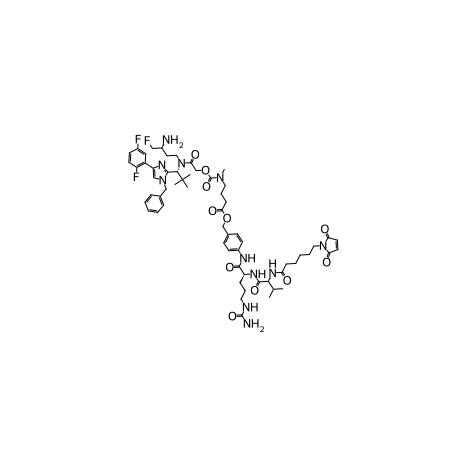 CC(C)[C@H](NC(=O)CCCCCN1C(=O)C=CC1=O)C(=O)N[C@@H](CCCNC(N)=O)C(=O)Nc1ccc(COC(=O)CCCN(C)C(=O)OCC(=O)N(CC[C@H](N)CF)[C@@H](c2nc(-c3cc(F)ccc3F)cn2Cc2ccccc2)C(C)(C)C)cc1